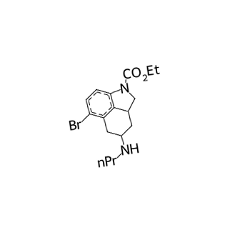 CCCNC1Cc2c(Br)ccc3c2C(C1)CN3C(=O)OCC